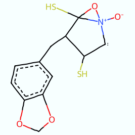 [O-][N+]12[C]C(S)C(Cc3ccc4c(c3)OCO4)C1(S)O2